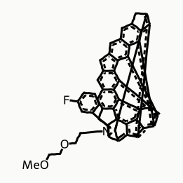 COCCOCCN1CC2C3=c4c5c6c7c(cc8cc9cc%10cc%11cc%12c%13c(c4c4c5c5c7c8c7c9c%10c8c%11c%13c4c8c75)=C(C3)C%12)CC62C1c1cccc(F)c1